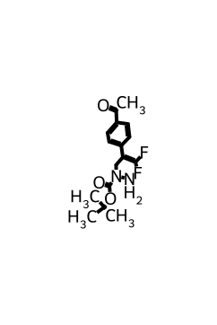 CC(=O)c1ccc(C(CN(N)C(=O)OC(C)(C)C)=C(F)F)cc1